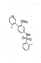 COc1cc(NS(=O)(=O)c2ccccc2C)ccc1-c1cnccc1C